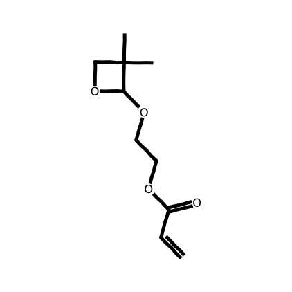 C=CC(=O)OCCOC1OCC1(C)C